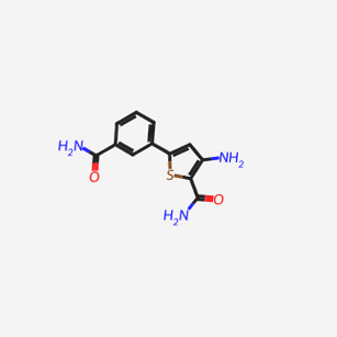 NC(=O)c1cccc(-c2cc(N)c(C(N)=O)s2)c1